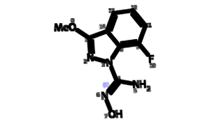 COc1nn(/C(N)=N/O)c2c(F)cccc12